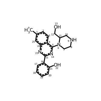 Cc1ccc2c(N3CCNCC3CO)nc(-c3ccccc3O)nc2c1